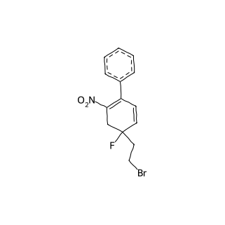 O=[N+]([O-])C1=C(c2ccccc2)C=CC(F)(CCBr)C1